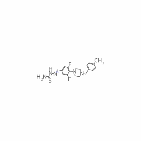 Cc1ccc(CN2CCN(c3c(F)cc(/C=N/NC(N)=S)cc3F)CC2)cc1